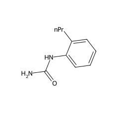 CCCc1ccccc1NC(N)=O